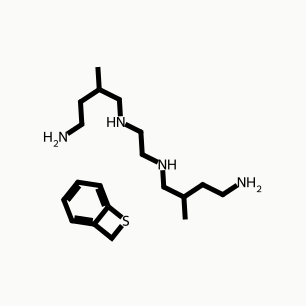 CC(CCN)CNCCNCC(C)CCN.c1ccc2c(c1)CS2